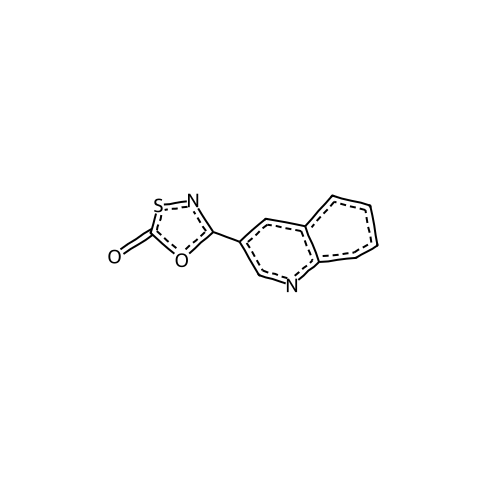 O=c1oc(-c2cnc3ccccc3c2)ns1